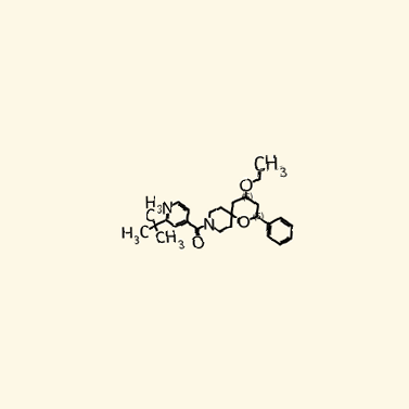 CCO[C@H]1C[C@@H](c2ccccc2)OC2(CCN(C(=O)c3ccnc(C(C)(C)C)c3)CC2)C1